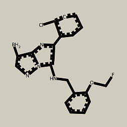 Bc1cnn2c(NCc3ccccc3OCF)cc(-c3ccccc3Cl)nc12